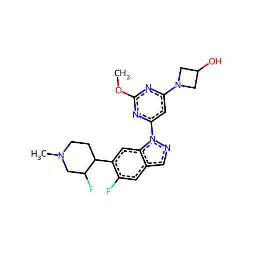 COc1nc(N2CC(O)C2)cc(-n2ncc3cc(F)c(C4CCN(C)CC4F)cc32)n1